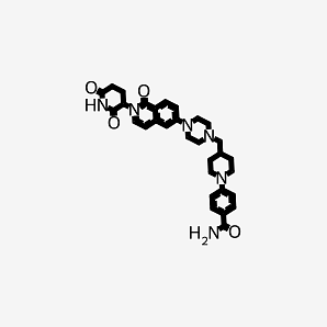 NC(=O)c1ccc(N2CCC(CN3CCN(c4ccc5c(=O)n(C6CCC(=O)NC6=O)ccc5c4)CC3)CC2)cc1